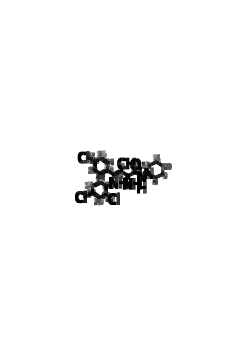 C/C(C(=N)C(=O)NN1CCCCC1)=C(/Nc1ccc(Cl)cc1Cl)c1ccc(Cl)cc1